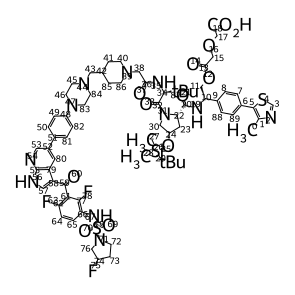 Cc1ncsc1-c1ccc([C@H](COC(=O)COCC(=O)O)NC(=O)[C@@H]2C[C@@H](O[Si](C)(C)C(C)(C)C)CN2C(=O)[C@@H](NC(=O)CN2CCC(CN3CCN(c4ccc(-c5cnc6[nH]cc(C(=O)c7c(F)ccc(NS(=O)(=O)N8CC[C@@H](F)C8)c7F)c6c5)cc4)CC3)CC2)C(C)(C)C)cc1